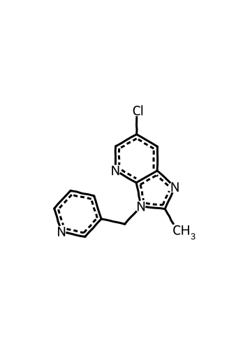 Cc1nc2cc(Cl)cnc2n1Cc1cccnc1